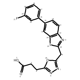 O=C(O)CCc1nnc(Cc2nc3ccc(-c4cccc(F)c4)cc3s2)o1